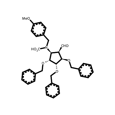 COc1ccc(CN(C(=O)O)[C@H]2[C@@H](C=O)[C@@H](OCc3ccccc3)[C@H](OCc3ccccc3)[C@@H]2OCc2ccccc2)cc1